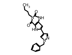 CCCCn1c(=O)[nH]c2cc(-c3cnn(Cc4ccccc4)c3)[nH]c2c1=O